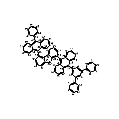 c1ccc(-c2cc(-c3ccccc3)cc(-c3c4ccccc4c(-c4cccc5c4sc4cccc(-c6c7ccccc7c(-c7ccccc7)c7ccccc67)c45)c4ccccc34)c2)cc1